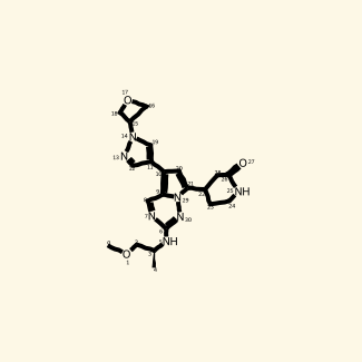 COC[C@H](C)Nc1ncc2c(-c3cnn(C4COC4)c3)cc(C3CCNC(=O)C3)n2n1